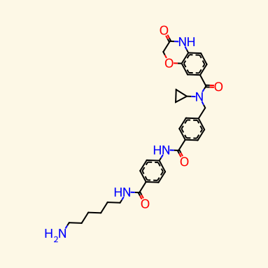 NCCCCCCNC(=O)c1ccc(NC(=O)c2ccc(CN(C(=O)c3ccc4c(c3)OCC(=O)N4)C3CC3)cc2)cc1